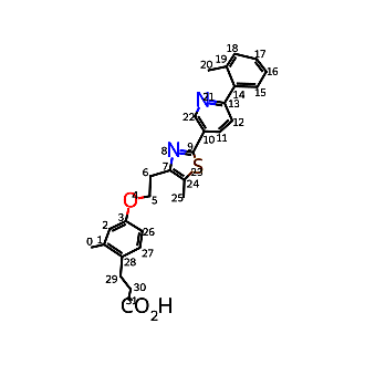 Cc1cc(OCCc2nc(-c3ccc(-c4ccccc4C)nc3)sc2C)ccc1CCC(=O)O